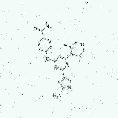 C[C@H]1COC[C@H](C)N1c1nc(Oc2ccc(C(=O)N(C)C)cc2)nc(-c2cnc(N)s2)n1